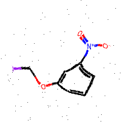 O=[N+]([O-])c1cccc(O[CH]I)c1